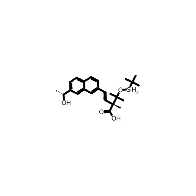 C[C@@H](O)c1ccc2ccc(C=C[C@@](C)(C(=O)O)C(C)(C)O[SiH2]C(C)(C)C)cc2c1